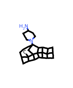 NC1CCN(C23CC45C(C6CC7CC2CC764)C2C4C6CC7CC8C9C3C25C49C768)CC1